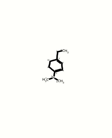 CCC1=CC=C(N(C)C)CC1